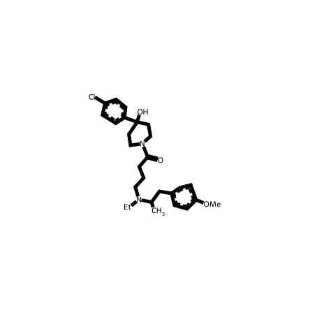 CCN(CCCC(=O)N1CCC(O)(c2ccc(Cl)cc2)CC1)C(C)Cc1ccc(OC)cc1